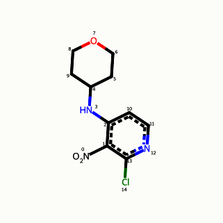 O=[N+]([O-])c1c(NC2CCOCC2)ccnc1Cl